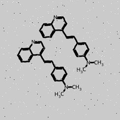 CN(C)c1ccc(C=Cc2ccnc3ccccc23)cc1.CN(C)c1ccc(C=Cc2ccnc3ccccc23)cc1